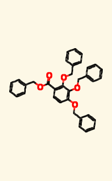 O=C(OCc1ccccc1)c1ccc(OCc2ccccc2)c(OCc2ccccc2)c1OCc1ccccc1